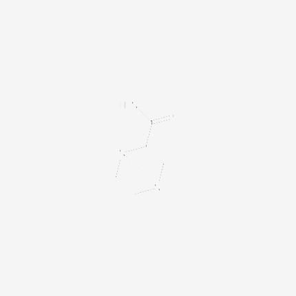 NC(=O)C1CN2CCN1CC2